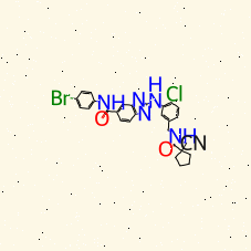 Cn1c(Nc2cc(CNC(=O)C3(C#N)CCCC3)ccc2Cl)nc2cc(C(=O)Nc3ccc(Br)cc3)ccc21